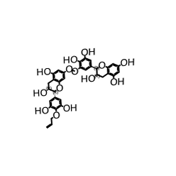 C=CCOc1c(O)cc([C@H]2Oc3cc(OOc4cc([C@H]5Oc6cc(O)cc(O)c6C[C@H]5O)cc(O)c4O)cc(O)c3C[C@H]2O)cc1O